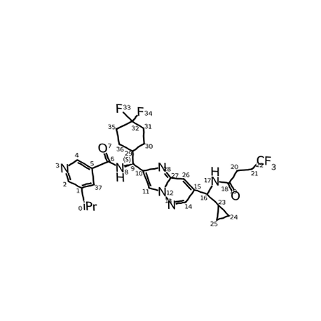 CC(C)c1cncc(C(=O)N[C@H](c2cn3ncc(C(NC(=O)CCC(F)(F)F)C4CC4)cc3n2)C2CCC(F)(F)CC2)c1